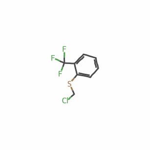 FC(F)(F)c1ccccc1SCCl